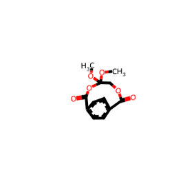 COC1(OC)COC(=O)c2ccc(cc2)C(=O)O1